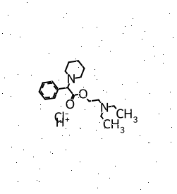 CCN(CC)CCOC(=O)C(c1ccccc1)N1CCCCC1.[Cl-].[H+]